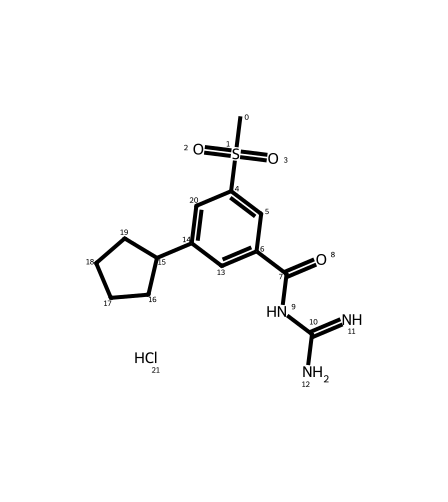 CS(=O)(=O)c1cc(C(=O)NC(=N)N)cc(C2CCCC2)c1.Cl